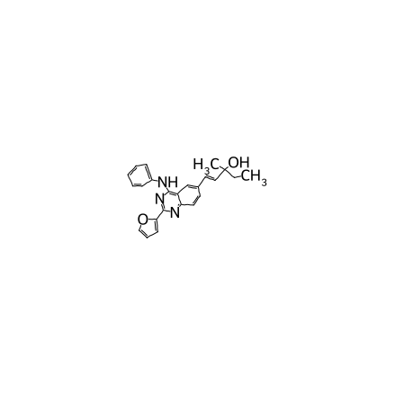 CCC(C)(O)/C=C/c1ccc2nc(-c3ccco3)nc(Nc3ccccc3)c2c1